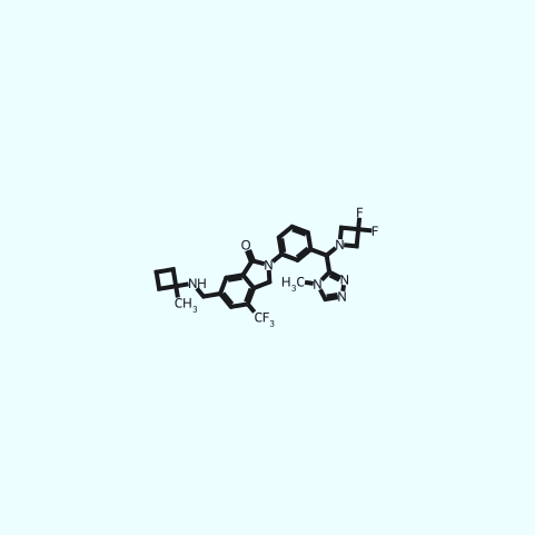 Cn1cnnc1C(c1cccc(N2Cc3c(cc(CNC4(C)CCC4)cc3C(F)(F)F)C2=O)c1)N1CC(F)(F)C1